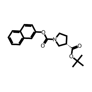 CC(C)(C)OC(=O)[C@H]1CCN(C(=O)Oc2ccc3ccccc3c2)C1